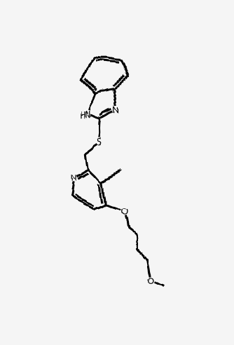 COCCCCOc1ccnc(CSc2nc3ccccc3[nH]2)c1C